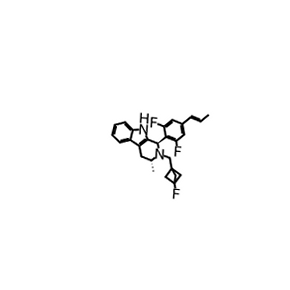 C/C=C/c1cc(F)c([C@@H]2c3[nH]c4ccccc4c3C[C@@H](C)N2CC23CC(F)(C2)C3)c(F)c1